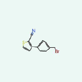 N#Cc1sccc1-c1ccc(CBr)cc1